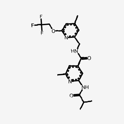 Cc1cc(CNC(=O)c2cc(C)nc(NC(=O)C(C)C)c2)nc(OCC(F)(F)F)c1